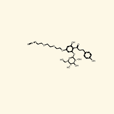 [N-]=[N+]=NCCOCCOCCOc1cc(O)c(C(=O)CCc2ccc(O)cc2)c(O[C@@H]2O[C@H](CO)[C@@H](O)C(O)[C@H]2O)c1